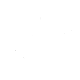 CCn1ncc(-c2cc(C)c3c(c2C)C(C)(C)CC(=C=O)S3(=O)=O)c1OS(C)(=O)=O